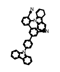 N#Cc1cc(-c2ccc(-n3c4ccccc4c4ccccc43)cc2)cc(-c2cccc(C#N)c2-n2c3c(c4ccccc42)CCC=C3)c1